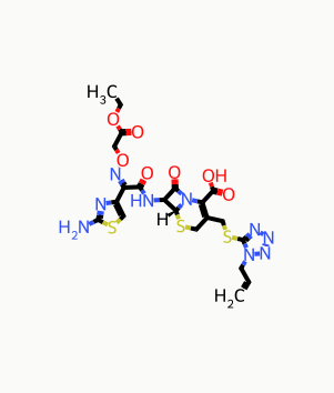 C=CCn1nnnc1SCC1=C(C(=O)O)N2C(=O)C(NC(=O)/C(=N\OCC(=O)OCC)c3csc(N)n3)[C@H]2SC1